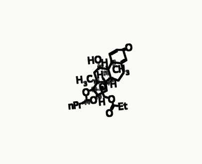 CCC[C@@H]1O[C@@H]2C[C@H]3[C@@H]4CCC5=CC(=O)C=C[C@]5(C)[C@H]4[C@@H](O)C[C@]3(C)[C@]2(C(=O)COC(=O)CC)O1